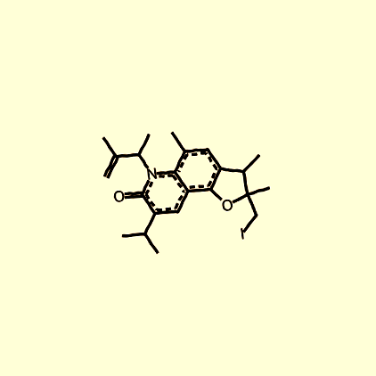 C=C(C)C(C)n1c(=O)c(C(C)C)cc2c3c(cc(C)c21)C(C)C(C)(CI)O3